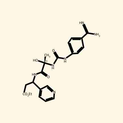 CCOC(=O)CC(NC(=O)[C@](C)(O)NC(=O)Nc1ccc(C(=N)N)cc1)c1cccnc1